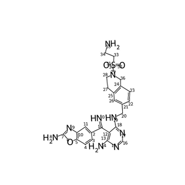 N=C(c1ccc2oc(N)nc2c1)c1c(N)ncnc1NCc1ccc2c(c1)CCN(S(=O)(=O)CCN)C2